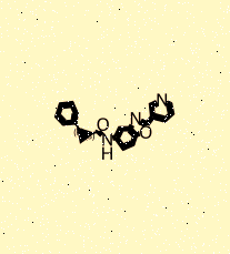 O=C(Nc1ccc2oc(-c3cccnc3)nc2c1)[C@H]1C[C@H]1c1ccccc1